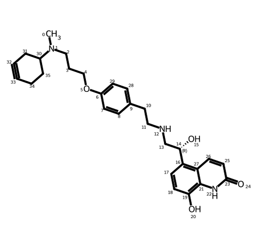 CN(CCCOc1ccc(CCNC[C@H](O)c2ccc(O)c3[nH]c(=O)ccc23)cc1)C1CC#CCC1